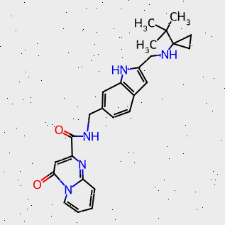 CC(C)(C)C1(NCc2cc3ccc(CNC(=O)c4cc(=O)n5ccccc5n4)cc3[nH]2)CC1